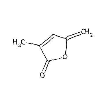 C=C1C=C(C)C(=O)O1